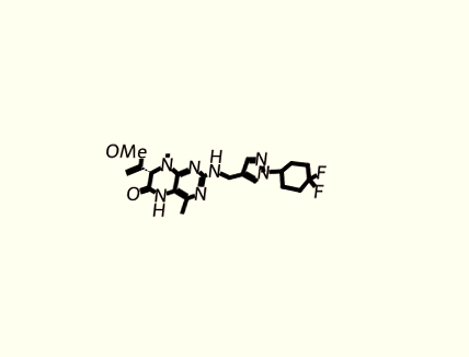 C=C(OC)[C@H]1C(=O)Nc2c(C)nc(NCc3cnn(C4CCC(F)(F)CC4)c3)nc2N1C